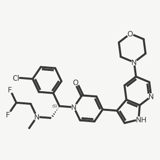 CN(CC(F)F)C[C@H](c1cccc(Cl)c1)n1ccc(-c2c[nH]c3ncc(N4CCOCC4)cc23)cc1=O